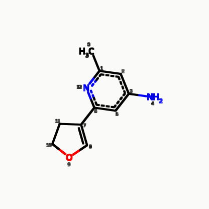 Cc1cc(N)cc(C2=COCC2)n1